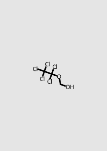 OCOC(Cl)(Cl)C(Cl)(Cl)Cl